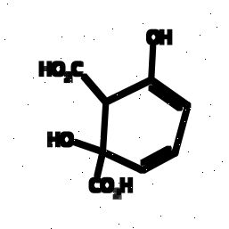 O=C(O)C1C(O)=CC=CC1(O)C(=O)O